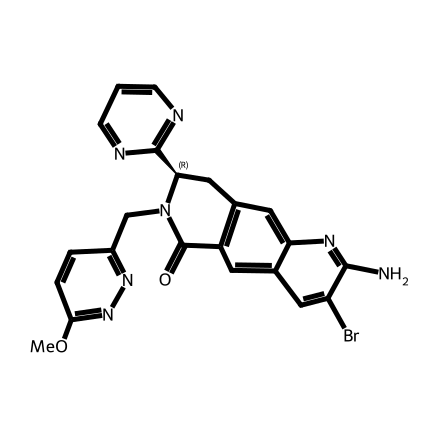 COc1ccc(CN2C(=O)c3cc4cc(Br)c(N)nc4cc3C[C@@H]2c2ncccn2)nn1